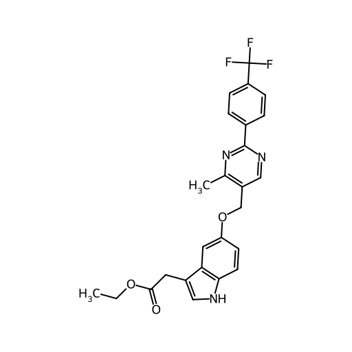 CCOC(=O)Cc1c[nH]c2ccc(OCc3cnc(-c4ccc(C(F)(F)F)cc4)nc3C)cc12